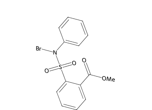 COC(=O)c1ccccc1S(=O)(=O)N(Br)c1ccccc1